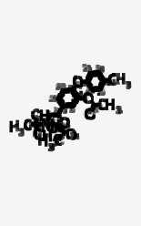 CC(=O)Oc1cc(C(CNC(C)(C)C)OS(C)(=O)=O)ccc1Oc1ccc(C)cc1